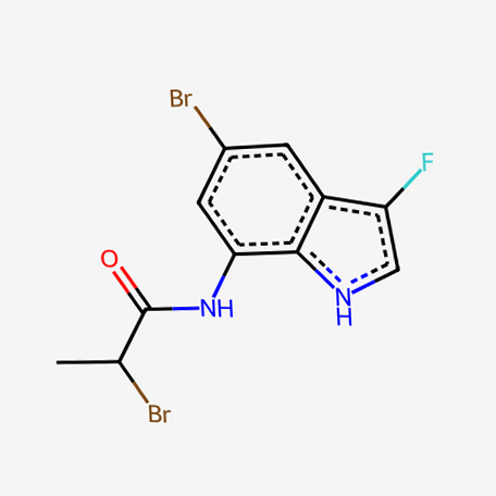 CC(Br)C(=O)Nc1cc(Br)cc2c(F)c[nH]c12